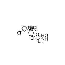 CC1(C(CC2CCCNC2)OC=O)CCC(N)(c2cccc(Cl)c2)CC1.Cl.Cl